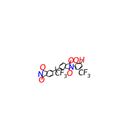 Cc1cc(C(F)(F)F)cc(N2C(=O)c3ccc(C(C)(c4ccc5c(c4)C(=O)N(C)C5=O)C(F)(F)F)cc3C2=O)c1O